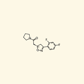 O=C(C[C@H]1CC(c2ccc(F)cc2F)=NO1)N1CCCC1